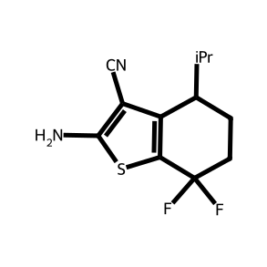 CC(C)C1CCC(F)(F)c2sc(N)c(C#N)c21